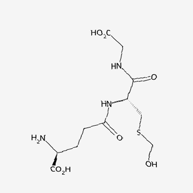 N[C@@H](CCC(=O)N[C@@H](CSCO)C(=O)NCC(=O)O)C(=O)O